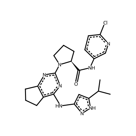 CC(C)c1cc(Nc2nc(N3CCC[C@H]3C(=O)Nc3ccc(Cl)nc3)nc3c2CCC3)n[nH]1